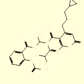 CC(=O)Oc1ccccc1C(=O)OC(C)n1c(C(F)F)nc2oc(=O)cc(CCCC3CC3)c2c1=O